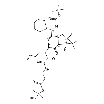 C=CCCC(NC(=O)[C@@H]1[C@@H]2[C@H](CN1C(=O)[C@@H](NC(=O)OC(C)(C)C)C1CCCCC1)C2(C)C)C(=O)C(=O)NCCC(=O)OC(C)(C)C=C